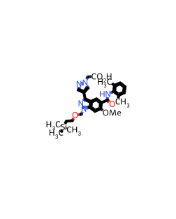 COc1cc2c(cc1C(=O)Nc1c(C)cccc1C)c(-c1cnn(CC(=O)O)c1)nn2COCC[Si](C)(C)C